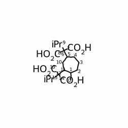 CC1CCCC(C(C(=O)O)(C(=O)O)C(C)C)CC1C(C(=O)O)(C(=O)O)C(C)C